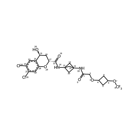 O=C(COC1CC(OC(F)(F)F)C1)NC12CC(NC(=O)[C@H]3C[C@H](O)c4cc(Cl)c(Cl)cc4O3)(C1)C2